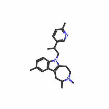 Cc1ccc2c(c1)c1c(n2CC(C)c2ccc(C)nc2)CCN(C)C(C)C1